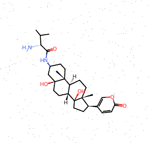 CC(C)[C@@H](N)C(=O)N[C@H]1CC[C@]2(C)[C@H]3CC[C@]4(C)[C@@H](c5ccc(=O)oc5)CC[C@]4(O)[C@@H]3CC[C@]2(O)C1